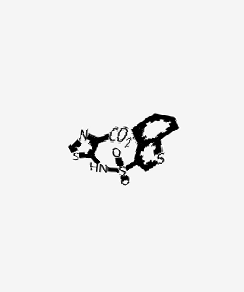 O=C(O)c1ncsc1NS(=O)(=O)c1csc2ccccc12